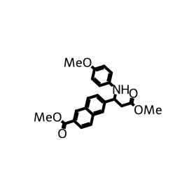 COC(=O)CC(Nc1ccc(OC)cc1)c1ccc2cc(C(=O)OC)ccc2c1